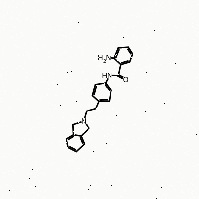 Nc1ccccc1C(=O)Nc1ccc(CCN2Cc3ccccc3C2)cc1